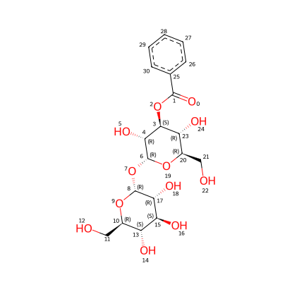 O=C(O[C@@H]1[C@@H](O)[C@@H](O[C@H]2O[C@H](CO)[C@@H](O)[C@H](O)[C@H]2O)O[C@H](CO)[C@H]1O)c1ccccc1